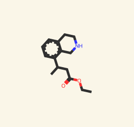 CCOC(=O)CC(C)c1cccc2c1CNCC2